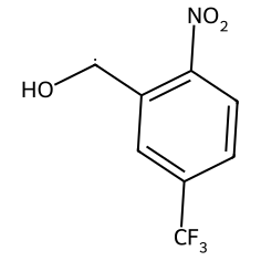 O=[N+]([O-])c1ccc(C(F)(F)F)cc1[CH]O